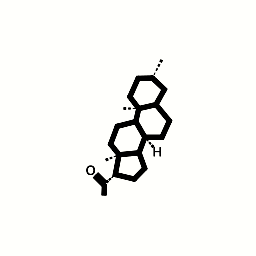 CC(=O)[C@H]1CCC2[C@@H]3CCC4C[C@@H](C)CC[C@]4(C)C3CC[C@@]21C